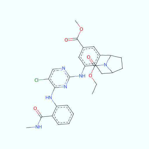 CCOC(=O)N1C2CCC1c1cc(C(=O)OC)cc(Nc3ncc(Cl)c(Nc4ccccc4C(=O)NC)n3)c1C2